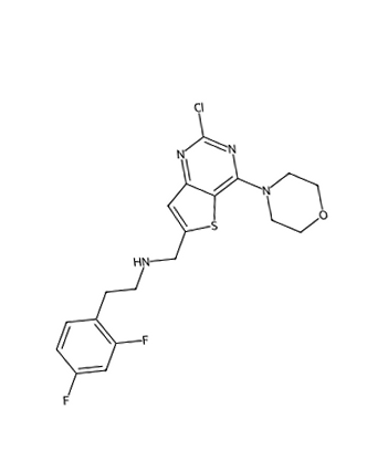 Fc1ccc(CCNCc2cc3nc(Cl)nc(N4CCOCC4)c3s2)c(F)c1